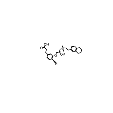 C[N+](C)(CCc1ccc2c(c1)CCCC2)C[C@@H](O)COc1cc(CCC(=O)O)ccc1C#N